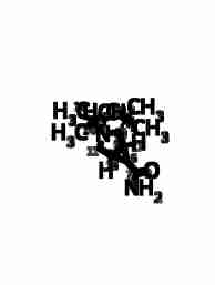 CC(C)(C)[C@@H]1[C@@H]2C(C(N)=O)[C@@H]2CN1C(C)(C)C